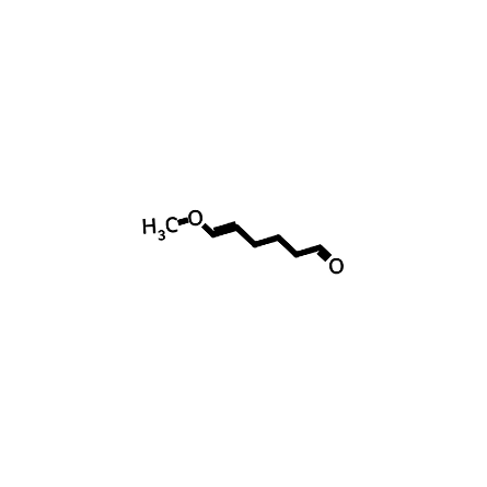 COC=CCCCC=O